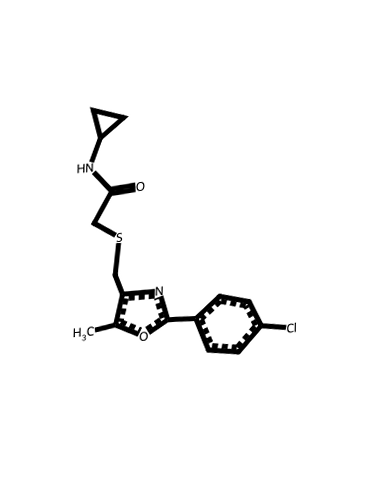 Cc1oc(-c2ccc(Cl)cc2)nc1CSCC(=O)NC1CC1